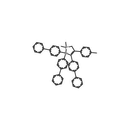 Cc1ccc(C2=C(c3ccc(-c4ccccc4)cc3)[B-](c3ccc(-c4ccccc4)cc3)(c3ccc(-c4ccccc4)cc3)[P+](C)(C)C2)cc1